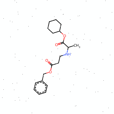 CC(NCCC(=O)OCc1ccccc1)C(=O)OC1CCCCC1